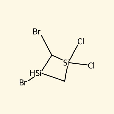 Cl[Si]1(Cl)C[SiH](Br)C1Br